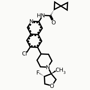 C[C@@]1(N2CCC(c3cc4cc(NC(=O)[C@@H]5CC56CC6)ncc4cc3Cl)CC2)COC[C@@H]1F